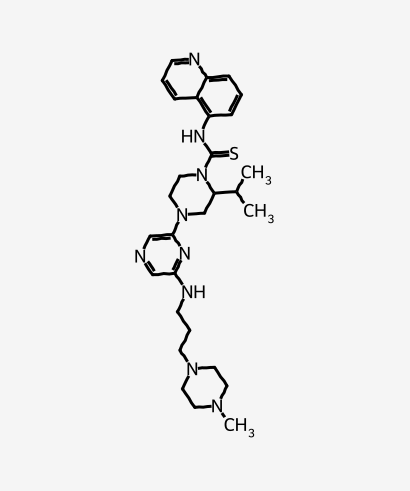 CC(C)C1CN(c2cncc(NCCCN3CCN(C)CC3)n2)CCN1C(=S)Nc1cccc2ncccc12